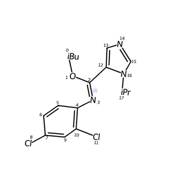 CCC(C)O/C(=N\c1ccc(Cl)cc1Cl)c1cncn1C(C)C